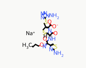 CCCCO/N=C(\C(=O)N[C@@H]1C(=O)N2C(C(=O)[O-])=C(CSc3nnnn3N)CS[C@@H]12)c1csc(N)n1.[Na+]